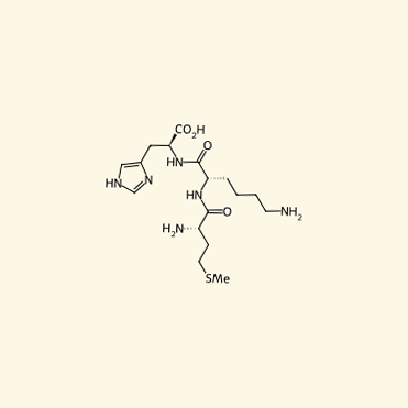 CSCC[C@H](N)C(=O)N[C@@H](CCCCN)C(=O)N[C@@H](Cc1c[nH]cn1)C(=O)O